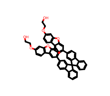 OCCOc1ccc2c(c1)oc1cc(-c3ccc4c(c3)C3(c5ccccc5-4)c4ccccc4-c4ccc(-c5ccc6oc7cc(OCCO)ccc7c6c5)cc43)ccc12